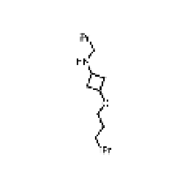 CC(C)CCCOC1CC(NCC(C)C)C1